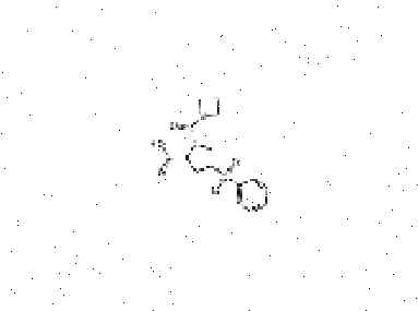 O=C(O)[C@@H]1C[C@H](S(=O)(=O)c2ccccc2)C[C@H]1C(=O)N1CCC1